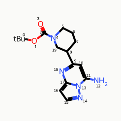 CC(C)(C)OC(=O)N1CCCC(c2cc(N)n3nccc3n2)C1